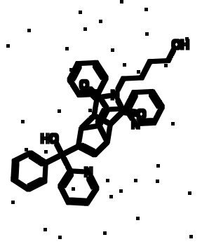 O=C1C2C3C=C(C(O)(c4ccccc4)c4ccccn4)C(C3=C(c3ccccc3)c3ccccn3)C2C(=O)N1CCCCO